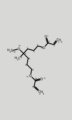 C=CC(=O)OCCCC(C)(CCCOC(=O)C=C)O[SiH3]